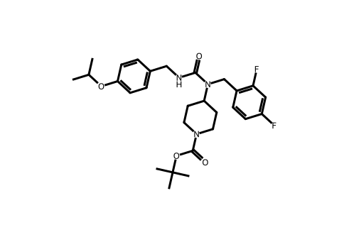 CC(C)Oc1ccc(CNC(=O)N(Cc2ccc(F)cc2F)C2CCN(C(=O)OC(C)(C)C)CC2)cc1